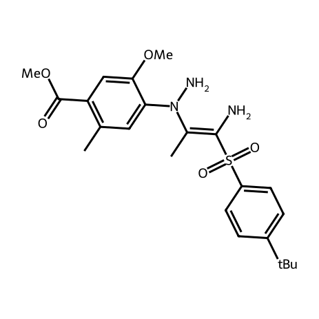 COC(=O)c1cc(OC)c(N(N)/C(C)=C(\N)S(=O)(=O)c2ccc(C(C)(C)C)cc2)cc1C